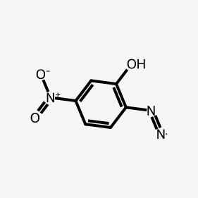 [N]=Nc1ccc([N+](=O)[O-])cc1O